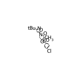 CC(C)(C)c1cc(N2CC[C@@](C)(S(=O)(=O)c3ccc(Cl)cc3)C2=O)on1